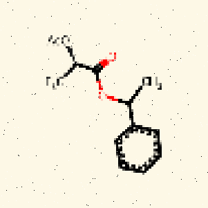 CC(=O)O[C@@H](C(=O)OC(C)c1ccccc1)C(F)(F)F